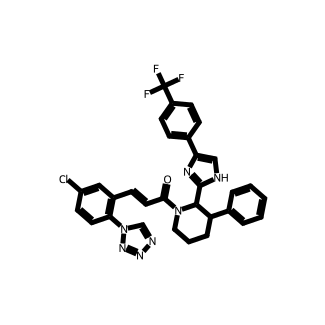 O=C(/C=C/c1cc(Cl)ccc1-n1cnnn1)N1CCCC(c2ccccc2)C1c1nc(-c2ccc(C(F)(F)F)cc2)c[nH]1